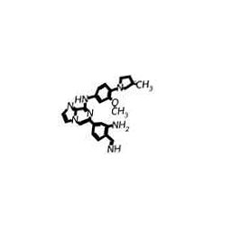 COc1cc(Nc2nc(-c3ccc(C=N)c(N)c3)cn3ccnc23)ccc1N1CC[C@@H](C)C1